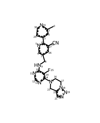 Cc1cc(-c2ncc(CNc3ncnc(N4CCn5nncc5C4)c3F)cc2C#N)ccn1